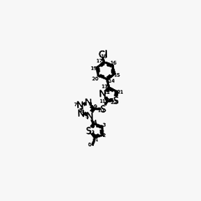 Cc1ccc(-n2nnnc2Sc2nc(-c3ccc(Cl)cc3)cs2)s1